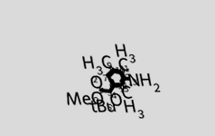 COC(=O)[C@@H](OC(C)(C)C)c1cc(C)c(C)c(N)c1C